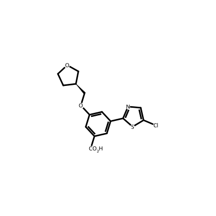 O=C(O)c1cc(OC[C@H]2CCOC2)cc(-c2ncc(Cl)s2)c1